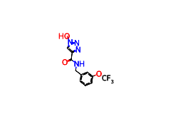 O=C(NCc1cccc(OC(F)(F)F)c1)c1cn(O)nn1